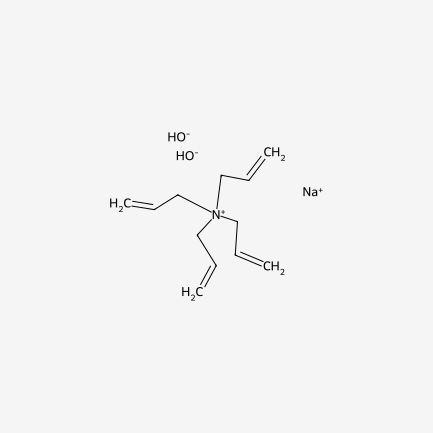 C=CC[N+](CC=C)(CC=C)CC=C.[Na+].[OH-].[OH-]